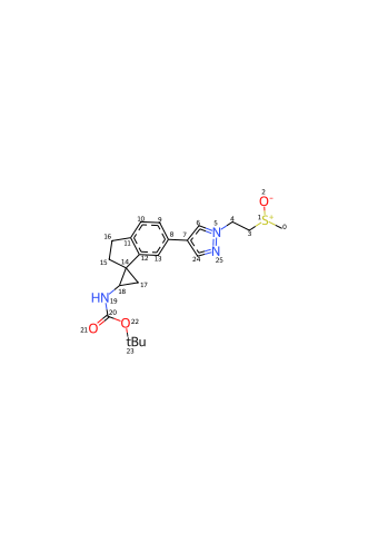 C[S+]([O-])CCn1cc(-c2ccc3c(c2)C2(CC3)CC2NC(=O)OC(C)(C)C)cn1